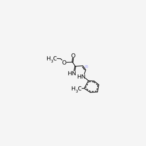 CCOC(=O)C(=N)/C=C\Nc1ccccc1C